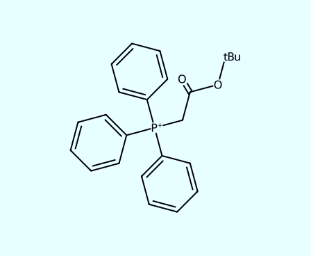 CC(C)(C)OC(=O)C[P+](c1ccccc1)(c1ccccc1)c1ccccc1